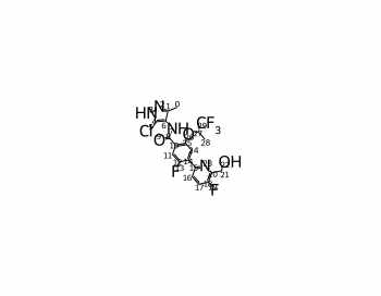 Cc1n[nH]c(Cl)c1NC(=O)c1cc(F)c(-c2ccc(F)c(CO)n2)cc1O[C@@H](C)C(F)(F)F